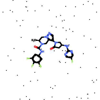 C[C@H]1Cn2ncc(N3CC(Nc4ncc(F)cn4)CC3=O)c2CN1C(=O)Nc1cc(F)c(F)c(F)c1